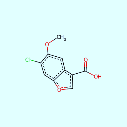 COc1cc2c(C(=O)O)coc2cc1Cl